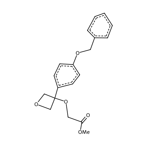 COC(=O)COC1(c2ccc(OCc3ccccc3)cc2)COC1